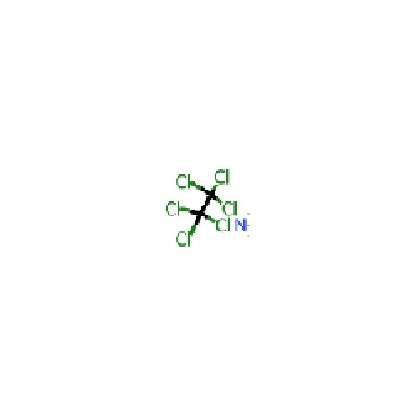 ClC(Cl)(Cl)C(Cl)(Cl)Cl.[N]